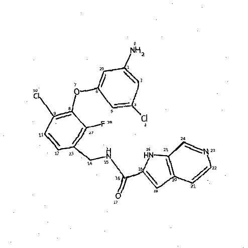 Nc1cc(Cl)cc(Oc2c(Cl)ccc(CNC(=O)c3cc4ccncc4[nH]3)c2F)c1